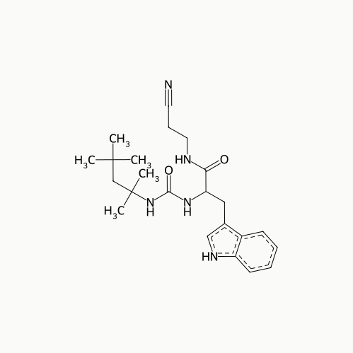 CC(C)(C)CC(C)(C)NC(=O)NC(Cc1c[nH]c2ccccc12)C(=O)NCCC#N